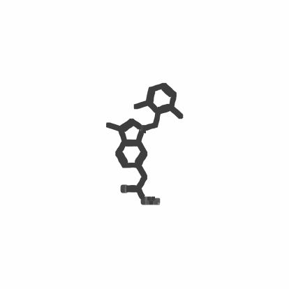 COC(=O)Cc1ccc2c(C)cn(Cc3c(C)cccc3C)c2c1